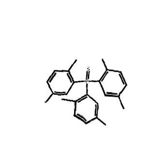 Cc1ccc(C)c(P(=S)(c2cc(C)ccc2C)c2cc(C)ccc2C)c1